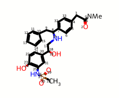 CNC(=O)Cc1ccc(C(Cc2ccccc2)NCC(O)c2ccc(O)c(NS(C)(=O)=O)c2)cc1